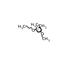 C=C.CCCCOc1cccc(OCC)c1